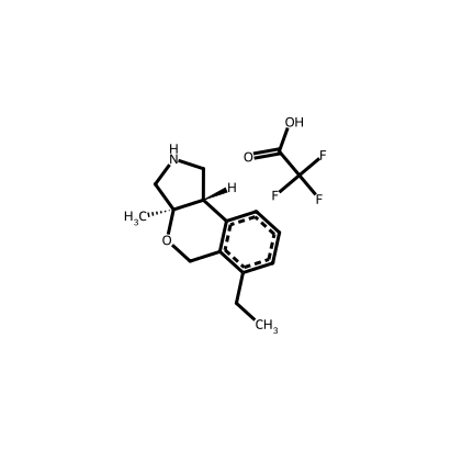 CCc1cccc2c1CO[C@@]1(C)CNC[C@H]21.O=C(O)C(F)(F)F